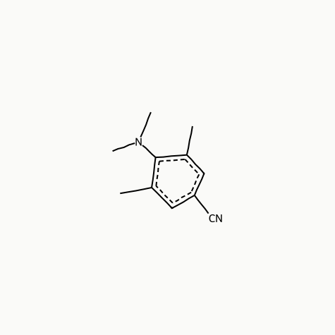 Cc1cc(C#N)cc(C)c1N(C)C